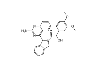 COc1cc(CO)c(-c2ccc3nc(N)nc(C4c5ccccc5CN4C=O)c3c2)cc1OC